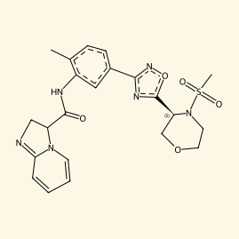 Cc1ccc(-c2noc([C@@H]3COCCN3S(C)(=O)=O)n2)cc1NC(=O)C1CN=C2C=CC=CN21